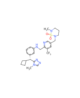 CN1CCCN(Cc2cnc(CNc3cccc([C@H](c4nncn4C)C4CCC4)c3)c(C(F)(F)F)c2)S1(=O)=O